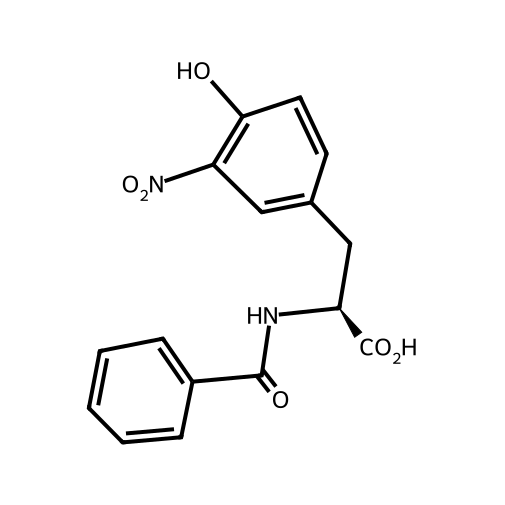 O=C(N[C@@H](Cc1ccc(O)c([N+](=O)[O-])c1)C(=O)O)c1ccccc1